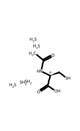 CC(=O)N[C@@H](CS)C(=O)O.S.S.S.S.S